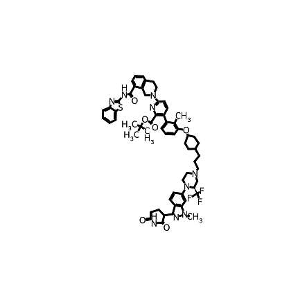 Cc1c(OC2CCC(CCCN3CCN(c4ccc5c(C6CCC(=O)NC6=O)nn(C)c5c4)[C@H](C(F)(F)F)C3)CC2)cccc1-c1ccc(N2CCc3cccc(C(=O)Nc4nc5ccccc5s4)c3C2)nc1C(=O)OC(C)(C)C